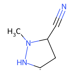 CN1N[CH]CC1C#N